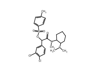 Cc1ccc(S(=O)(=O)OC(C(=O)N(C)C2CCCCC2N(C)C)c2ccc(Cl)c(Cl)c2)cc1